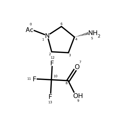 CC(=O)N1CC[C@@H](N)C1.O=C(O)C(F)(F)F